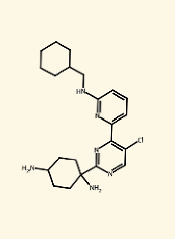 NC1CCC(N)(c2ncc(Cl)c(-c3cccc(NCC4CCCCC4)n3)n2)CC1